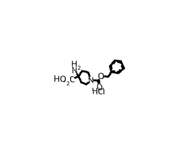 Cl.NC1(C(=O)O)CCN(C(=O)OCc2ccccc2)CC1